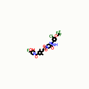 Cc1cc(C(=O)N2CCC(O)(CF)CC2)cc(C)c1C=CS(=O)(=O)N1CCC2(CC1)N=C(c1ccc(OCC(F)(F)F)c(Cl)c1)NC2=O